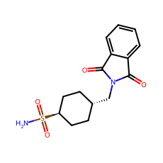 NS(=O)(=O)[C@H]1CC[C@H](CN2C(=O)c3ccccc3C2=O)CC1